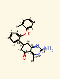 Cc1ccccc1Oc1ccccc1C1CC(=O)c2c(C)nc(N)nc2C1